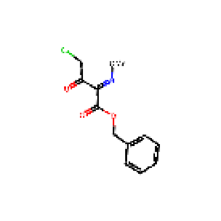 CON=C(C(=O)CCl)C(=O)OCc1ccccc1